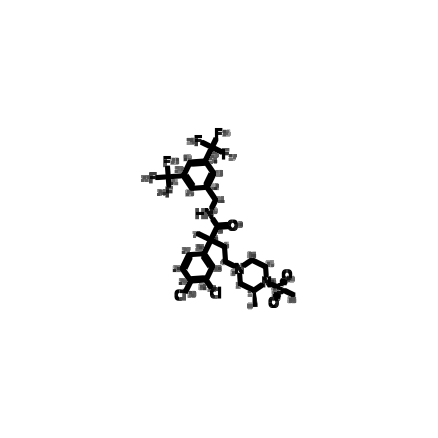 C[C@H]1CN(CCC(C)(C(=O)NCc2cc(C(F)(F)F)cc(C(F)(F)F)c2)c2ccc(Cl)c(Cl)c2)CCN1S(C)(=O)=O